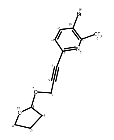 FC(F)(F)c1nc(C#CCOC2CCCO2)ccc1Br